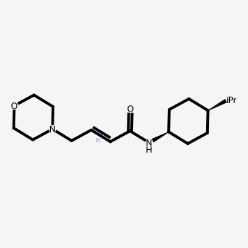 CC(C)[C@H]1CC[C@@H](NC(=O)/C=C/CN2CCOCC2)CC1